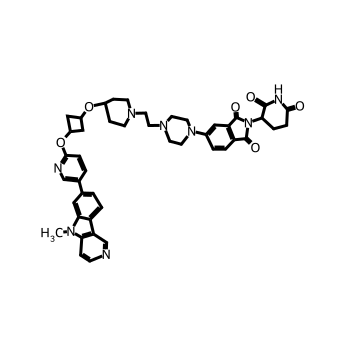 Cn1c2ccncc2c2ccc(-c3ccc(OC4CC(OC5CCN(CCN6CCN(c7ccc8c(c7)C(=O)N(C7CCC(=O)NC7=O)C8=O)CC6)CC5)C4)nc3)cc21